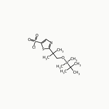 CC(C)(CO[Si](C)(C)C(C)(C)C)c1ncc(S(=O)(=O)Cl)s1